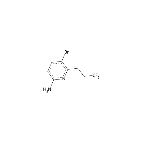 Nc1ccc(Br)c(CCC(F)(F)F)n1